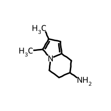 Cc1cc2n(c1C)CCC(N)C2